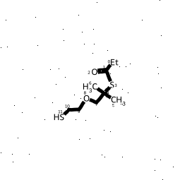 CCC(=O)SC(C)(C)COCCS